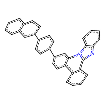 c1ccc2cc(-c3ccc(-c4ccc5c6ccccc6c6nc7ccccc7n6c5c4)cc3)ccc2c1